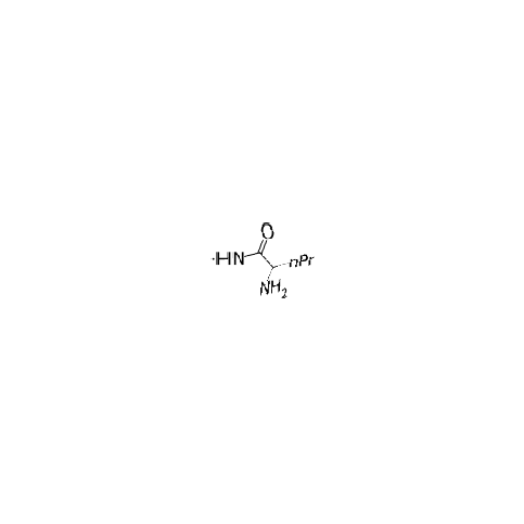 CCCC(N)C([NH])=O